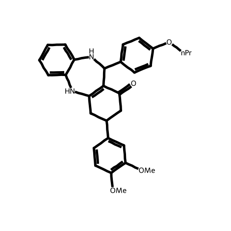 CCCOc1ccc(C2Nc3ccccc3NC3=C2C(=O)CC(c2ccc(OC)c(OC)c2)C3)cc1